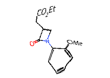 CCOC(=O)CC1CN(c2ccccc2OC)C1=O